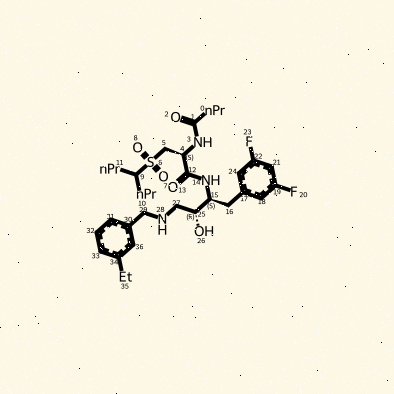 CCCC(=O)N[C@H](CS(=O)(=O)C(CCC)CCC)C(=O)N[C@@H](Cc1cc(F)cc(F)c1)[C@H](O)CNCc1cccc(CC)c1